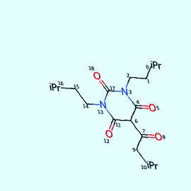 CC(C)CCN1C(=O)C(C(=O)CC(C)C)C(=O)N(CCC(C)C)C1=O